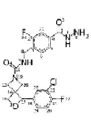 NNC(=O)c1ccc(CNC(=O)N2CC3(COC3c3ccc(F)c(Cl)c3)C2)c(F)c1